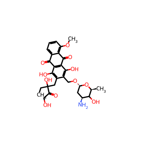 CCC(O)(Cc1c(O)c2c(c(O)c1CO[C@H]1C[C@H](N)C(O)[C@H](C)O1)C(=O)c1c(OC)cccc1C2=O)C(=O)CO